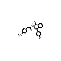 O=C(Cc1ccc(C(F)(F)F)cc1)Nn1nc(-c2ccc(Cl)cc2)c2ccccc2c1=O